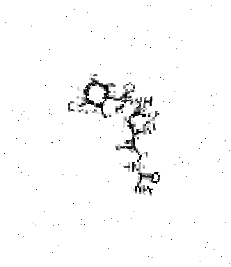 CCCC(=O)NC[C@@H](C)c1nsc(NS(=O)(=O)c2cccc(Cl)c2C)n1